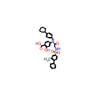 Cc1cc(S(=O)(=O)NCC(=O)N(Cc2ccc(C3CCCCC3)cc2)c2ccc(C(=O)O)c(O)c2)ccc1-c1ccccc1